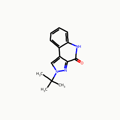 CC(C)(C)n1cc2c(n1)c(=O)[nH]c1ccccc12